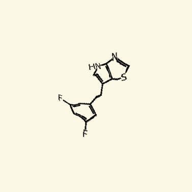 Fc1cc(F)cc(Cc2c[nH]c3ncsc23)c1